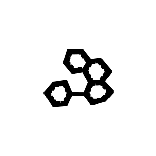 [c]1ccc(-c2cccc3ccc4ccccc4c23)cc1